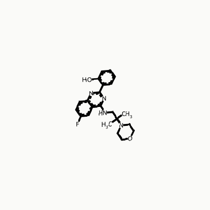 CC(C)(CNc1nc(-c2ccccc2O)nc2ccc(F)cc12)N1CCOCC1